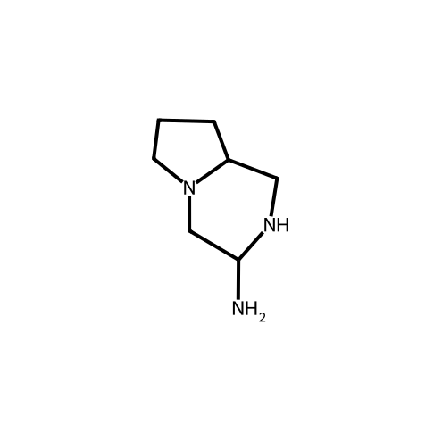 NC1CN2CCCC2CN1